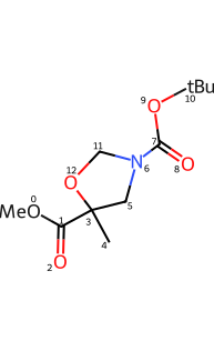 COC(=O)C1(C)CN(C(=O)OC(C)(C)C)CO1